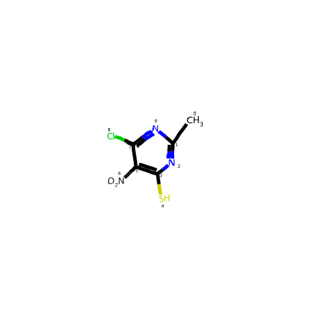 Cc1nc(S)c([N+](=O)[O-])c(Cl)n1